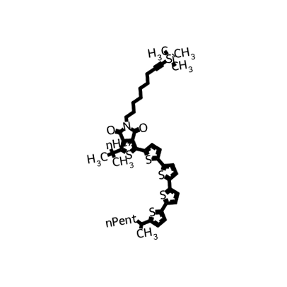 CCCCCCC(C)(C)c1sc(-c2ccc(-c3ccc(-c4ccc(-c5ccc(C(C)CCCCC)s5)s4)s3)s2)c2c1C(=O)N(CCCCCCCC#C[Si](C)(C)C)C2=O